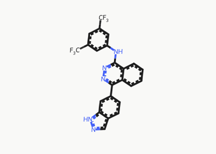 FC(F)(F)c1cc(Nc2nnc(-c3ccc4cn[nH]c4c3)c3ccccc23)cc(C(F)(F)F)c1